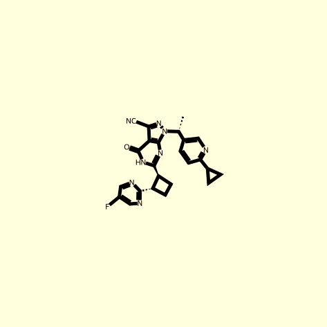 C[C@H](c1ccc(C2CC2)nc1)n1nc(C#N)c2c(=O)[nH]c([C@H]3CC[C@@H]3c3ncc(F)cn3)nc21